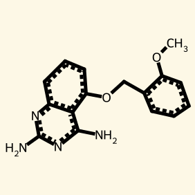 COc1ccccc1COc1cccc2nc(N)nc(N)c12